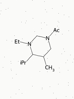 CCN1CN(C(C)=O)CC(C)C1C(C)C